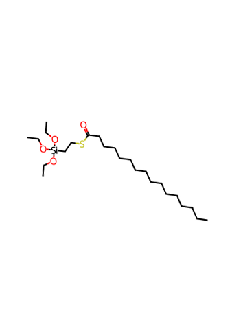 CCCCCCCCCCCCCCCC(=O)SCC[Si](OCC)(OCC)OCC